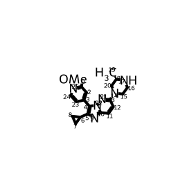 COc1cc(-c2c(C3CC3)nc3ccc(N4CCN[C@H](C)C4)nn23)ccn1